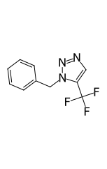 FC(F)(F)c1cnnn1Cc1ccccc1